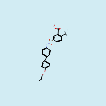 CCCOc1ccc(-c2ccc(NS(=O)(=O)c3ccc(C(C)C)c(C(=O)OC)c3)cc2)cc1